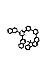 CC1(C)c2ccccc2-c2ccc3ccc(-c4cccc(-c5cccc(-c6nc(-c7ccc8ccccc8c7)nc(-c7ccc8ccccc8c7)n6)c5)c4)cc3c21